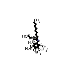 CCCCCCCCC/C(=C/c1c(C)c(OC)c(OC)c(OC)c1OC)C(=O)NCCO